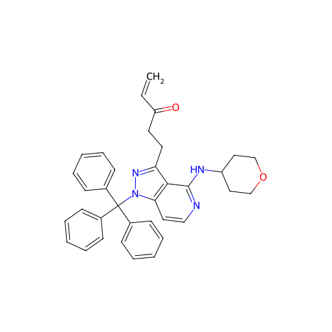 C=CC(=O)CCc1nn(C(c2ccccc2)(c2ccccc2)c2ccccc2)c2ccnc(NC3CCOCC3)c12